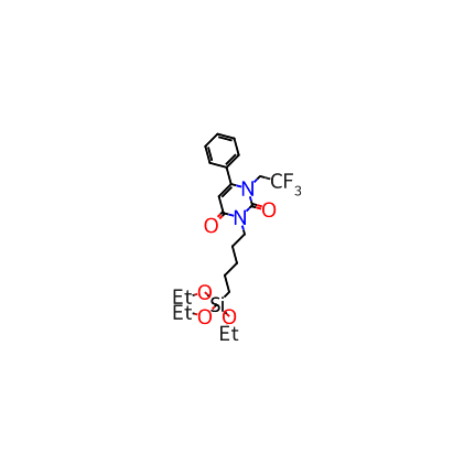 CCO[Si](CCCCCn1c(=O)cc(-c2ccccc2)n(CC(F)(F)F)c1=O)(OCC)OCC